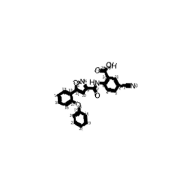 N#Cc1ccc(NC(=O)c2cc(-c3ccccc3Oc3ccccc3)on2)c(C(=O)O)c1